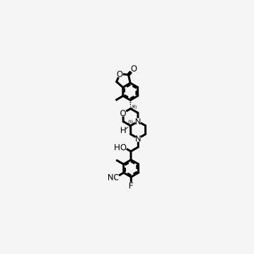 Cc1c(C(O)CN2CCN3C[C@@H](c4ccc5c(c4C)COC5=O)OC[C@@H]3C2)ccc(F)c1C#N